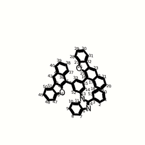 c1ccc(-c2nc3ccccc3n2-c2cc(-c3c4ccccc4cc4c3oc3ccccc34)cc(-c3c4ccccc4cc4c3oc3ccccc34)c2)cc1